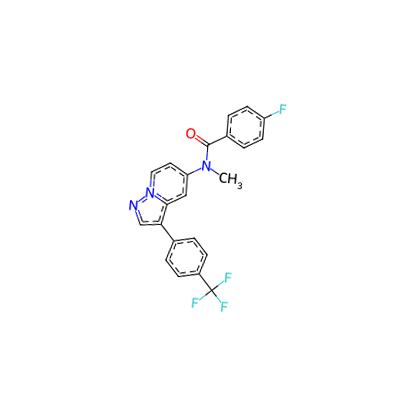 CN(C(=O)c1ccc(F)cc1)c1ccn2ncc(-c3ccc(C(F)(F)F)cc3)c2c1